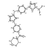 O=C(c1ccc(-c2nnn(Cc3ccc(-c4nnc(C(F)F)o4)cc3)n2)cc1)N1CCOCC1